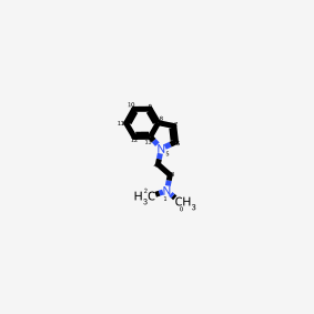 CN(C)CCn1c[c]c2ccccc21